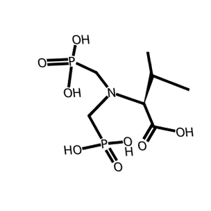 CC(C)[C@@H](C(=O)O)N(CP(=O)(O)O)CP(=O)(O)O